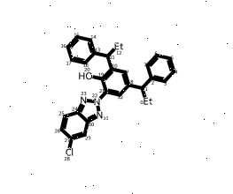 CCC(c1ccccc1)c1cc(C(CC)c2ccccc2)c(O)c(-n2nc3ccc(Cl)cc3n2)c1